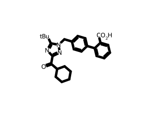 CC(C)(C)c1nc(C(=O)C2CCCCC2)nn1Cc1ccc(-c2ccccc2C(=O)O)cc1